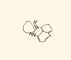 C1=c2cccc3c2=C(CC1)NC1(CCCCCCC1)N3